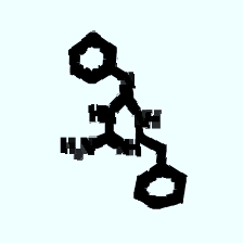 N=C(N)NC(=Nc1ccccc1)NCCc1ccccc1